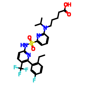 CCc1ccc(F)cc1-c1nc(NS(=O)(=O)c2cccc(N(CCCCC(=O)O)C(C)C)n2)ccc1C(F)(F)F